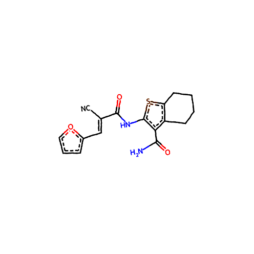 N#CC(=Cc1ccco1)C(=O)Nc1sc2c(c1C(N)=O)CCCC2